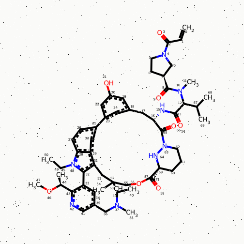 C=CC(=O)N1CC[C@H](C(=O)N(C)C(C(=O)N[C@H]2Cc3cc(O)cc(c3)-c3ccc4c(c3)c(c(-c3cc(CN(C)CC)cnc3[C@H](C)OC)n4CC)CC(C)(C)COC(=O)[C@@H]3CCCN(N3)C2=O)C(C)C)C1